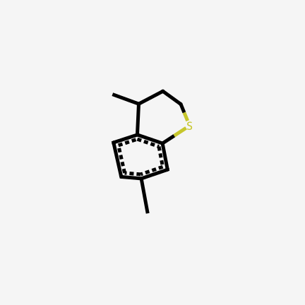 Cc1ccc2c(c1)SCCC2C